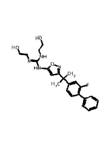 CC(C)(c1ccc(-c2ccccc2)c(F)c1)c1cc(N/C(=N/CCO)NCCO)on1